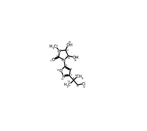 CN1C(=O)N(c2cc(C(C)(C)CCl)no2)C(O)C1O